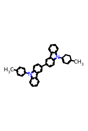 CC1=CC=C(n2c3ccccc3c3cc(-c4ccc5c(c4)c4ccccc4n5-c4ccc(C)cc4)ccc32)CC1